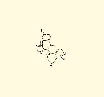 O=C1C=C2C3=C(CNN2F)CC(c2ccc(F)cc2)C(c2ncn[nH]2)C3=NC1